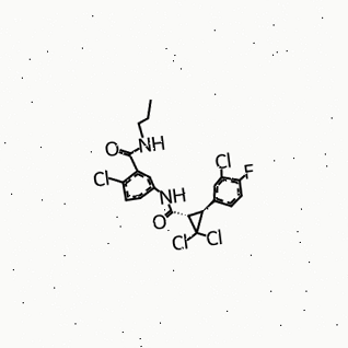 CCCNC(=O)c1cc(NC(=O)[C@@H]2[C@@H](c3ccc(F)c(Cl)c3)C2(Cl)Cl)ccc1Cl